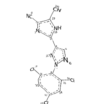 N#Cc1nc(-c2cnn(-c3c(Cl)cc(Cl)cc3Cl)n2)[nH]c1C#N